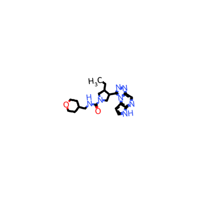 CCC1CN(C(=O)NCC2CCOCC2)CC1c1nnc2cnc3[nH]ccc3n12